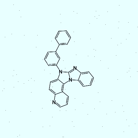 c1ccc(-c2cccc(-n3c4ccc5ncccc5c4n4c5ccccc5nc34)c2)cc1